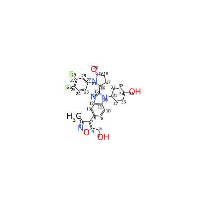 Cc1noc(CO)c1-c1ccc2c(c1)nc([C@@H]1CCC(=O)N1c1ccc(F)c(F)c1)n2C1CCC(O)CC1